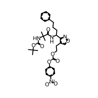 CC(C)(C)OC(=O)NC(C)(C)C(=O)NC(CCCc1ccccc1)c1nocc1CCOC(=O)Oc1ccc([N+](=O)[O-])cc1